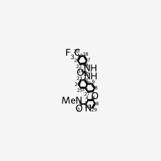 CNC(=O)c1cc(Oc2ccc3c(NC(=O)Nc4ccc(C(F)(F)F)cc4)cccc3c2)ccn1